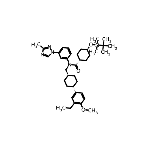 CCc1cc([C@H]2CC[C@H](CN(c3cccc(-n4cnc(C)n4)c3)C(=O)[C@H]3CC[C@H](O[Si](C)(C)C(C)(C)C)CC3)CC2)ccc1OC